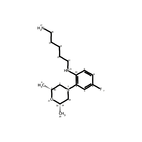 C[C@@H]1CN(c2cc(F)ccc2NCCCCCN)C[C@H](C)O1